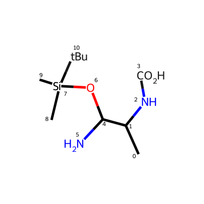 CC(NC(=O)O)C(N)O[Si](C)(C)C(C)(C)C